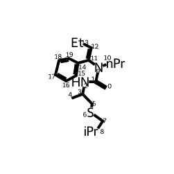 C=C(NC(C)CSCC(C)C)N(CCC)/C(=C/CC)c1ccccc1